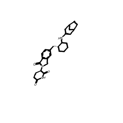 O=C1CCC(N2Cc3cc(C[C@H]4CCCCC4NC4CC5CCC(C5)C4)ccc3C2=O)C(=O)N1